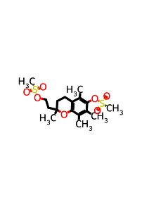 Cc1c(C)c2c(c(C)c1OS(C)(=O)=O)CCC(C)(CCOS(C)(=O)=O)O2